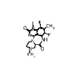 Cc1c(F)c2c3c(nc(=O)n(I)c3c1F)N1CCN(C)CC1C(=O)N2